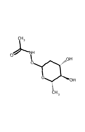 CC(=O)NOC1C[C@H](O)[C@@H](O)[C@H](C)O1